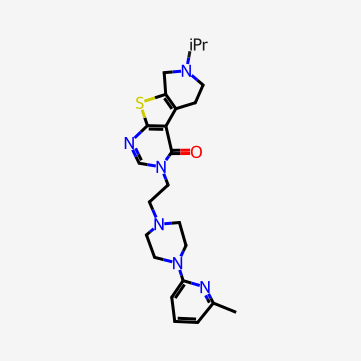 Cc1cccc(N2CCN(CCn3cnc4sc5c(c4c3=O)CCN(C(C)C)C5)CC2)n1